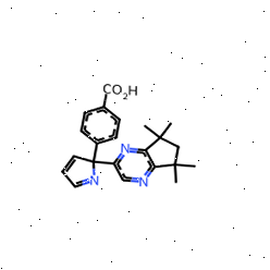 CC1(C)CC(C)(C)c2nc(C3(c4ccc(C(=O)O)cc4)C=CC=N3)cnc21